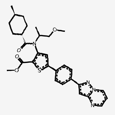 COCC(C)N(c1cc(-c2ccc(-c3cc4ncccn4n3)cc2)sc1C(=O)OC)C(=O)[C@H]1CC[C@H](C)CC1